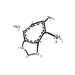 Cl.Nc1ccc2c(c1N)OCO2